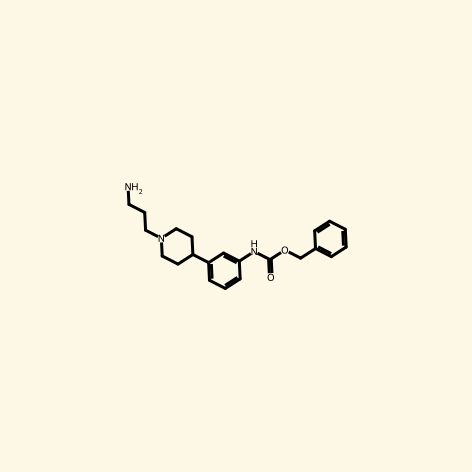 NCCCN1CCC(c2cccc(NC(=O)OCc3ccccc3)c2)CC1